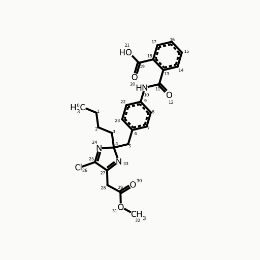 CCCCC1(Cc2ccc(NC(=O)c3ccccc3C(=O)O)cc2)N=C(Cl)C(CC(=O)OC)=N1